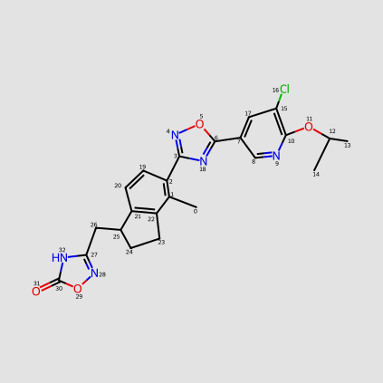 Cc1c(-c2noc(-c3cnc(OC(C)C)c(Cl)c3)n2)ccc2c1CCC2Cc1noc(=O)[nH]1